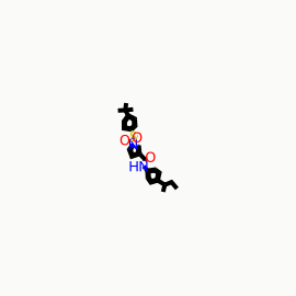 CCC(C)c1ccc(NC(=O)c2ccn(S(=O)(=O)c3ccc(C(C)(C)C)cc3)c2)cc1